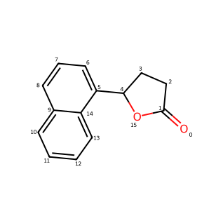 O=C1CCC(c2cccc3ccccc23)O1